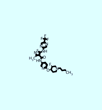 CCCCN1CC[C@@H](Oc2ccc(NC(=O)c3c(C)nsc3Nc3cnc(C(F)(F)F)cn3)cn2)[C@@H](F)C1